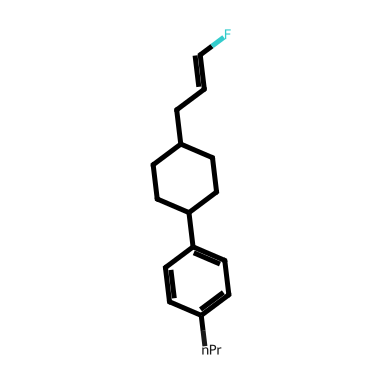 CCCc1ccc(C2CCC(CC=CF)CC2)cc1